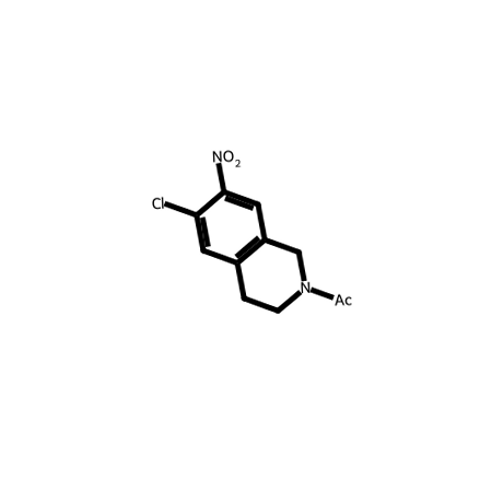 CC(=O)N1CCc2cc(Cl)c([N+](=O)[O-])cc2C1